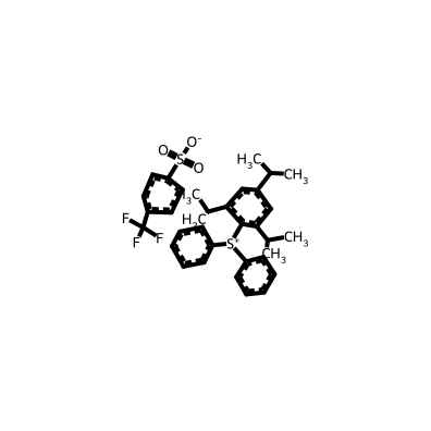 CC(C)c1cc(C(C)C)c([S+](c2ccccc2)c2ccccc2)c(C(C)C)c1.O=S(=O)([O-])c1ccc(C(F)(F)F)cc1